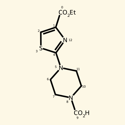 CCOC(=O)c1csc(N2CCN(C(=O)O)CC2)n1